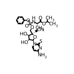 C#C[C@]1(COP(=O)(N[C@@H](C)C(=O)OC(C)C)Oc2ccccc2)O[C@@H](n2ccc(N)nc2=S)[C@@H](O)[C@H]1O